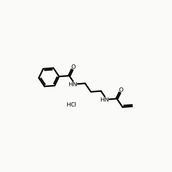 C=CC(=O)NCCCNC(=O)c1ccccc1.Cl